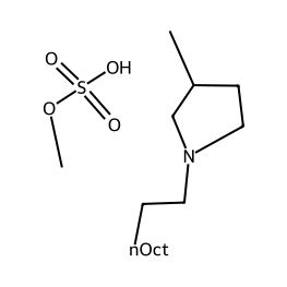 CCCCCCCCCCN1CCC(C)C1.COS(=O)(=O)O